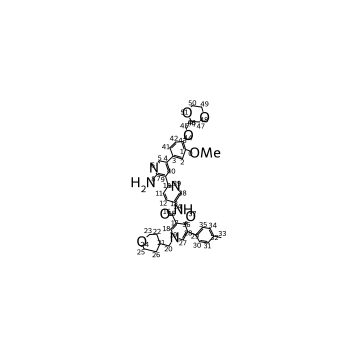 COc1cc(-c2cnc(N)c(-c3ccc(NC(=O)c4cn(CC5CCOCC5)cc(-c5ccc(C)cc5)c4=O)cn3)c2)ccc1OC[C@H]1COCCO1